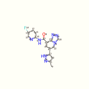 Cc1cc(-c2cc(C(=O)Nc3ccc(F)cn3)c3nncn3c2)[nH]n1